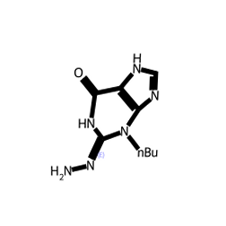 CCCCn1/c(=N/N)[nH]c(=O)c2[nH]cnc21